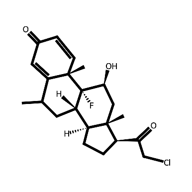 CC1C[C@H]2[C@@H]3CC[C@H](C(=O)CCl)[C@@]3(C)C[C@H](O)[C@]2(F)[C@@]2(C)C=CC(=O)C=C12